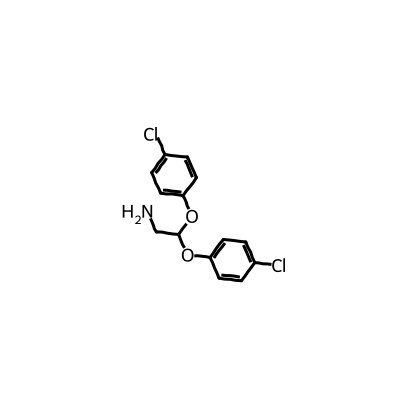 NCC(Oc1ccc(Cl)cc1)Oc1ccc(Cl)cc1